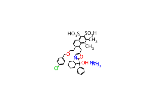 Cc1c(S(=O)(=O)O)c(S(=O)(=O)O)c2ccc(CCOCc3ccc(Cl)cc3)c(Cc3cnc([C@](O)(c4ccccc4)C4CCCCC4)o3)c2c1C.N.N